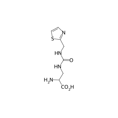 NC(CNC(=O)NCc1nccs1)C(=O)O